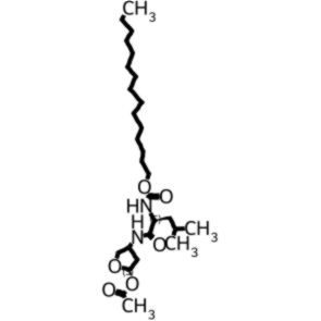 CCCCCCCCCCCCCCCOC(=O)N[C@@H](CC(C)C)C(=O)NC1CO[C@@H](OC(C)=O)C1